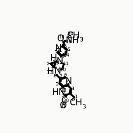 CCC1=Cc2ncc(CN3CCN(c4ccc(C(=O)NC)nc4)[C@H]4C[C@H]43)cc2NC1=C=O